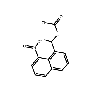 CC(OC(=O)Cl)c1cccc2cccc([N+](=O)[O-])c12